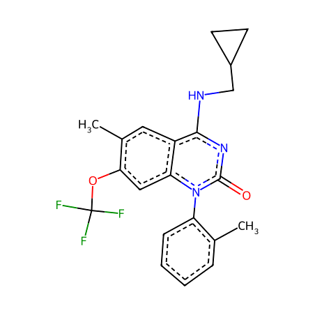 Cc1cc2c(NCC3CC3)nc(=O)n(-c3ccccc3C)c2cc1OC(F)(F)F